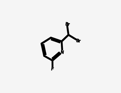 Fc1cccc(C(Br)Br)n1